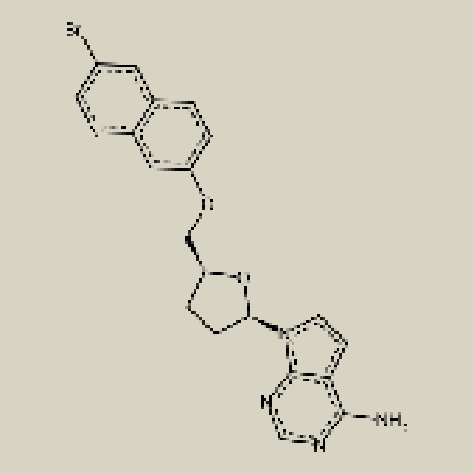 Nc1ncnc2c1ccn2[C@H]1CC[C@@H](COc2ccc3cc(Br)cnc3c2)O1